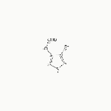 O=COc1cscc1Br